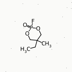 CCC1(C)COP(=O)(F)OC1